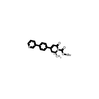 C[C@H]1CC(c2ccc(-c3cccnc3)cc2)=CC(=O)N1C(=O)OC(C)(C)C